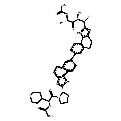 CC[C@@H](c1nc2c([nH]1)-c1ccc(-c3ccc4c(ccc5nc([C@@H]6CCCN6C(=O)[C@@H](NC(=O)OC)C6CCOCC6)[nH]c54)c3)cc1CC2)N(C(=O)[C@@H](NC(=O)OC)C(C)C)C(C)C